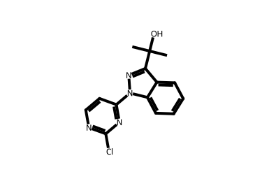 CC(C)(O)c1nn(-c2ccnc(Cl)n2)c2ccccc12